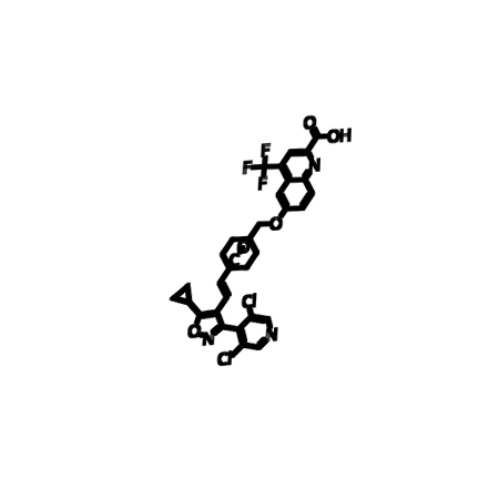 O=C(O)c1cc(C(F)(F)F)c2cc(OCC34CCC(/C=C/c5c(-c6c(Cl)cncc6Cl)noc5C5CC5)(CC3)CO4)ccc2n1